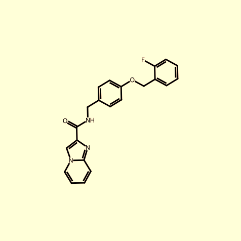 O=C(NCc1ccc(OCc2ccccc2F)cc1)c1cn2ccccc2n1